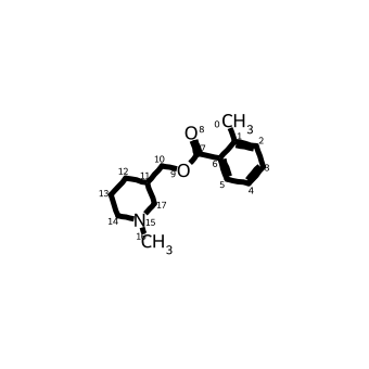 Cc1ccccc1C(=O)OCC1CCCN(C)C1